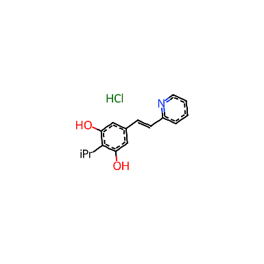 CC(C)c1c(O)cc(/C=C/c2ccccn2)cc1O.Cl